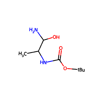 CC(NC(=O)OC(C)(C)C)C(N)O